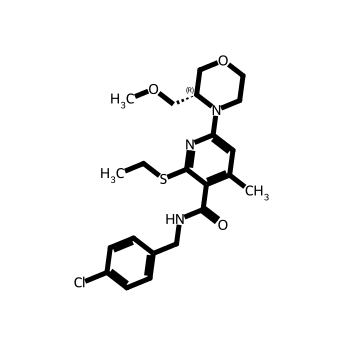 CCSc1nc(N2CCOC[C@H]2COC)cc(C)c1C(=O)NCc1ccc(Cl)cc1